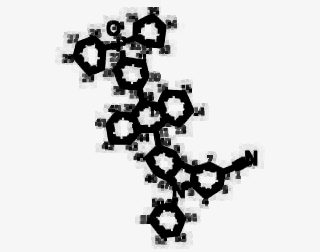 N#Cc1ccc2c(c1)c1cc(-c3c4ccccc4c(-c4ccc(P(=O)(c5ccccc5)c5ccccc5)cc4)c4ccccc34)ccc1n2-c1ccccc1